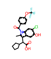 Cc1c(C(C(=O)O)C2CCCC2)c2cc(O)c(Cl)cc2n1C(=O)c1ccc(OC(F)(F)F)cc1